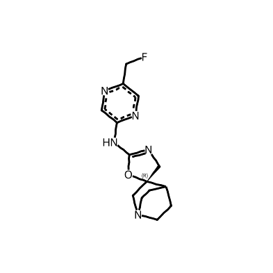 FCc1cnc(NC2=NC[C@@]3(CN4CCC3CC4)O2)cn1